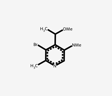 CNc1cnc(C)c(Br)c1C(C)OC